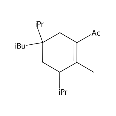 CCC(C)C1(C(C)C)CC(C(C)=O)=C(C)C(C(C)C)C1